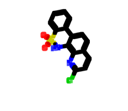 O=S1(=O)Nc2c(ccc3ccc(Cl)nc23)-c2ccccc21